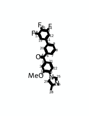 COc1cc(C(=O)c2cccc(-c3cc(F)c(F)c(F)c3)c2)ccc1-n1cnc(C)c1